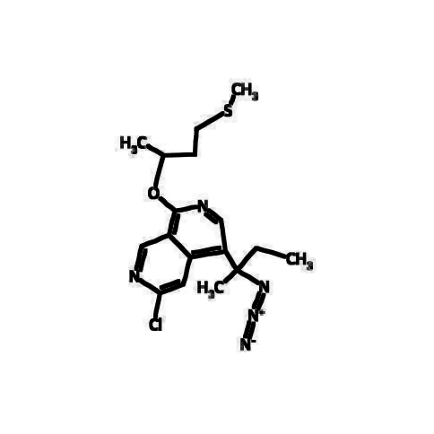 CCC(C)(N=[N+]=[N-])c1cnc(OC(C)CCSC)c2cnc(Cl)cc12